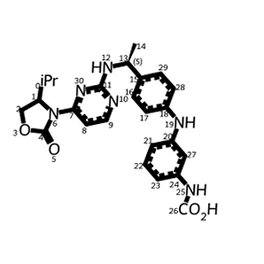 CC(C)C1COC(=O)N1c1ccnc(N[C@@H](C)c2ccc(Nc3cccc(NC(=O)O)c3)cc2)n1